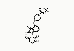 Cn1c(=O)n(C2C(=O)CCNC2=O)c2cccc(CN3CCN(C(=O)OC(C)(C)C)CC3)c21